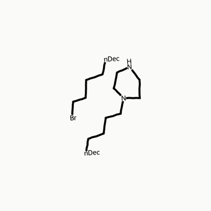 CCCCCCCCCCCCCCBr.CCCCCCCCCCCCCCN1CCNCC1